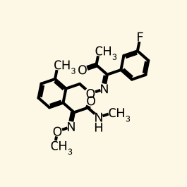 CNC(=O)/C(=N/OC)c1cccc(C)c1CO/N=C(\C(C)=O)c1cccc(F)c1